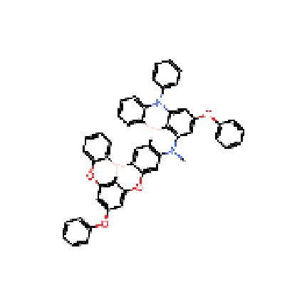 CN1c2cc3c(cc2B2c4ccccc4N(c4ccccc4)c4cc(Oc5ccccc5)cc1c42)B1c2ccccc2Oc2cc(Oc4ccccc4)cc(c21)O3